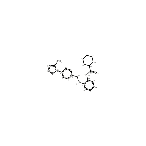 Cc1nccn1-c1ccc(COc2ccccc2NC(=O)C2CCCCC2)cc1